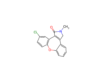 CN1CC2=C(C1=O)c1cc(Cl)ccc1Oc1ccccc12